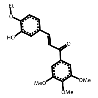 CCOc1ccc(C=CC(=O)c2cc(OC)c(OC)c(OC)c2)cc1O